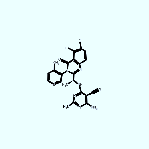 Cc1ccncc1-n1c([C@H](C)Nc2nc(N)nc(N)c2C#N)nc2ccc(F)c(Cl)c2c1=O